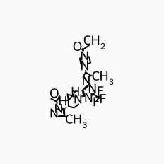 C=CC(=O)N1CCN([C@@H]2CN(c3cc(N4CC[C@H](c5c(C)cnn5C5COC5)[C@@H]5C[C@@H]54)nc(C(F)(F)F)n3)[C@@H]2C)CC1